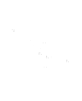 N#Cc1ccc(C(=O)NNC(=O)c2cccnc2)s1